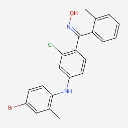 Cc1cc(Br)ccc1Nc1ccc(C(=NO)c2ccccc2C)c(Cl)c1